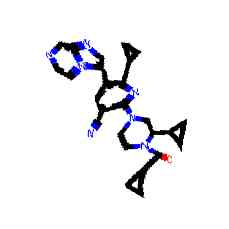 N#Cc1cc(-c2cnc3cnccn23)c(C2CC2)nc1N1CCN(C(=O)C2CC2)C(C2CC2)C1